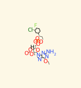 CCOc1nc(N)nc2c1ncn2[C@@H]1O[C@H](CO[P@]2(=O)OCC[C@H](c3ccc(F)c(Cl)c3)O2)[C@H]2OC(=O)O[C@]21C